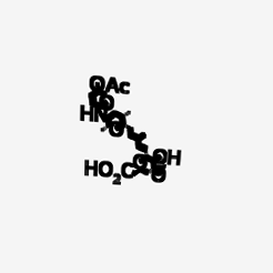 CC(=O)O[C@@H](C)/C=C\C(=O)N[C@@H]1C[C@H](C)[C@H](C/C=C(C)/C=C/[C@H]2O[C@H](CC(=O)O)C[C@@]3(CO3)C2O)O[C@@H]1C